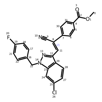 COC(=O)c1ccc(/C(C#N)=C/c2nn(Cc3ccc(F)cc3)c3cc(Cl)ccc23)cc1